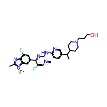 C=N/C=C(F)\C(=N/CNc1ccc(C(C)C2CCN(CCCO)CC2)cn1)c1cc(F)c2nc(C)n(C(C)C)c2c1